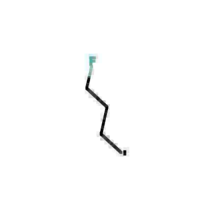 [CH]CCCF